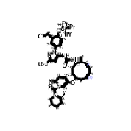 C=C1/C=C\C=C/C[C@H](Oc2ccc3nnc(N4CCCC[C@@H]4C)n3c2)CC[C@@H]1NC(=O)Nc1cc(C(C)(C)C)nn1-c1ccc(O[Si](C(C)C)(C(C)C)C(C)C)c(CCl)c1